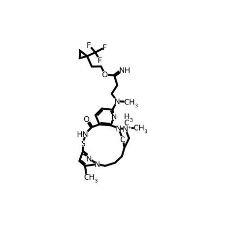 Cc1cc2nn1CCCC1CN(c3nc(N(C)CCC(=N)OCCC4(C(F)(F)F)CC4)ccc3C(=O)NS2)[N+](C)(C)C1